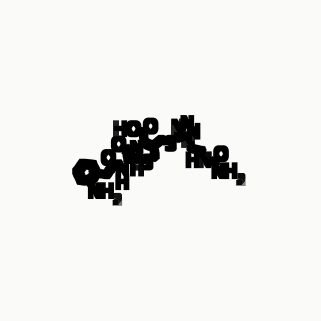 NC(=O)NCCn1nnnc1SCC1=C(C(=O)O)N2C(=O)C(NC(=O)Cc3ccccc3N)[C@H]2SC1